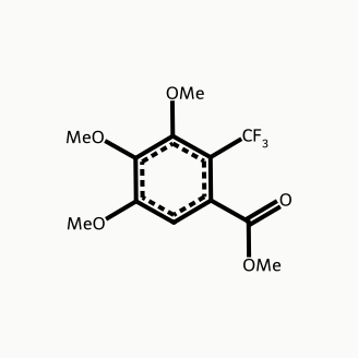 COC(=O)c1cc(OC)c(OC)c(OC)c1C(F)(F)F